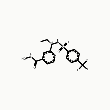 CC[C@@H](NS(=O)(=O)c1ccc(C(F)(F)F)cc1)c1cc(C(=O)NO)ccn1